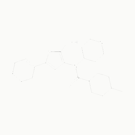 CC1CCC(C(=O)N(c2cc(C3=CCCCC3)sc2C(=O)O)C2CCNCC2)CC1